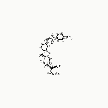 C[C@@H]1CN(C(=O)OC(C)(C)C)C[C@H](C)N1C(=O)[C@H]1CC[C@H](NS(=O)(=O)c2ccc(C(F)(F)F)cc2)CC1